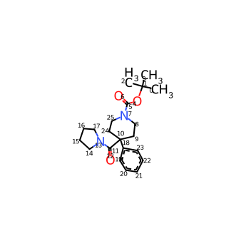 CC(C)(C)OC(=O)N1CCC(C(=O)N2CCCC2)(c2ccccc2)CC1